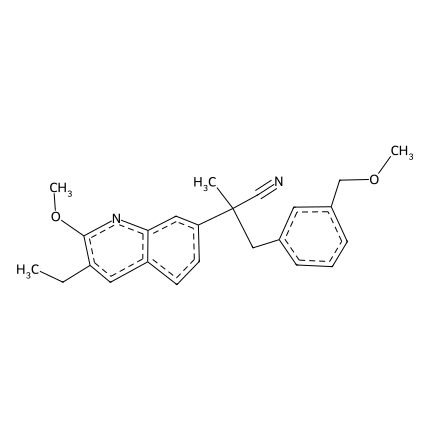 CCc1cc2ccc(C(C)(C#N)Cc3cccc(COC)c3)cc2nc1OC